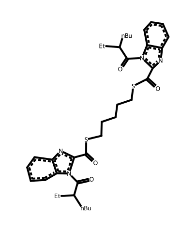 CCCCC(CC)C(=O)n1c(C(=O)SCCCCCSC(=O)c2nc3ccccc3n2C(=O)C(CC)CCCC)nc2ccccc21